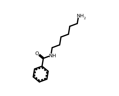 NCCCCCCNC(=O)c1ccccc1